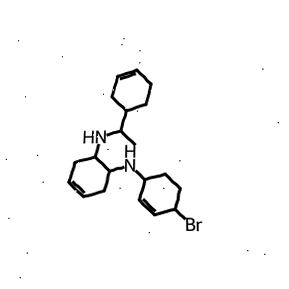 CC(NC1CC=CCC1NC1C=CC(Br)CC1)C1CC=CCC1